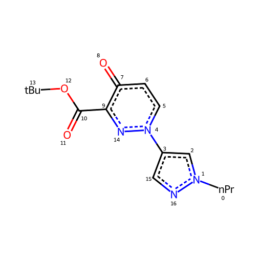 CCCn1cc(-n2ccc(=O)c(C(=O)OC(C)(C)C)n2)cn1